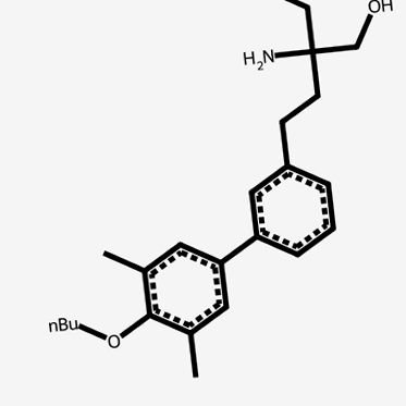 CCCCOc1c(C)cc(-c2cccc(CCC(N)(CO)CO)c2)cc1C